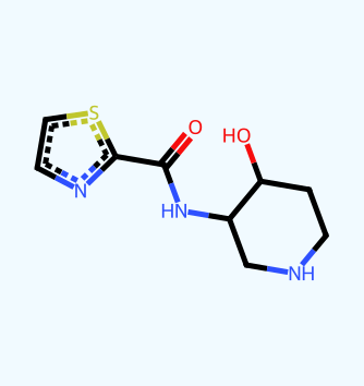 O=C(NC1CNCCC1O)c1nccs1